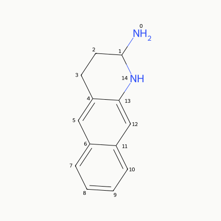 NC1CCc2cc3ccccc3cc2N1